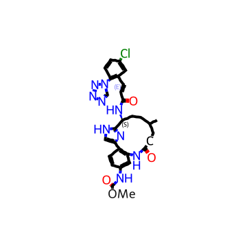 COC(=O)Nc1ccc2c(c1)NC(=O)CCC(C)CC[C@H](NC(=O)/C=C/c1cc(Cl)ccc1-n1cnnn1)c1nc-2c[nH]1